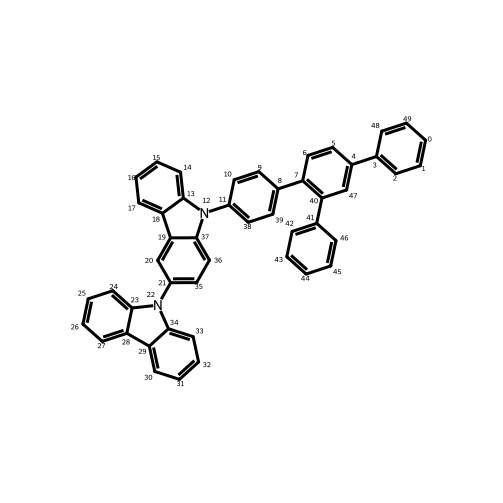 c1ccc(-c2ccc(-c3ccc(-n4c5ccccc5c5cc(-n6c7ccccc7c7ccccc76)ccc54)cc3)c(-c3ccccc3)c2)cc1